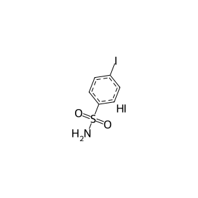 I.NS(=O)(=O)c1ccc(I)cc1